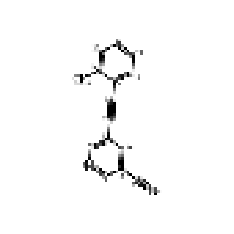 N#Cc1cncc(C#Cc2ccccc2Cl)c1